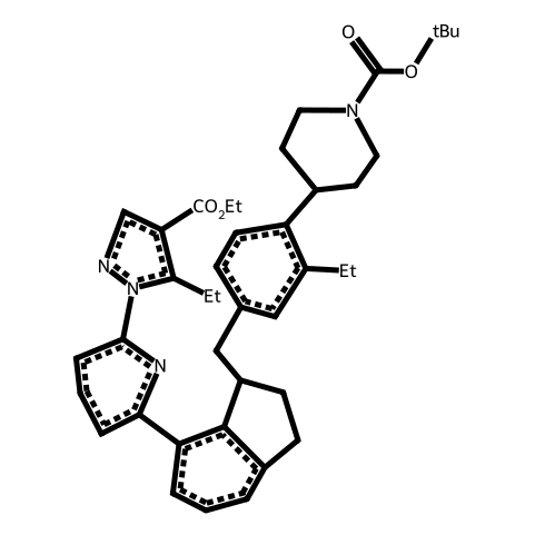 CCOC(=O)c1cnn(-c2cccc(-c3cccc4c3C(Cc3ccc(C5CCN(C(=O)OC(C)(C)C)CC5)c(CC)c3)CC4)n2)c1CC